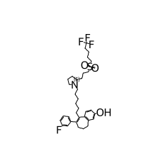 O=S(=O)(CCCCC(F)(F)F)CCC[C@@H]1CCCN1CCCCCCC1=C(c2cccc(F)c2)CCCc2cc(O)ccc21